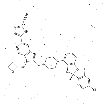 C[C@]1(c2ccc(Cl)cc2F)Oc2cccc(C3CCN(Cc4nc5cc(-c6nnc(C#N)[nH]6)ncc5n4C[C@@H]4CCO4)CC3)c2O1